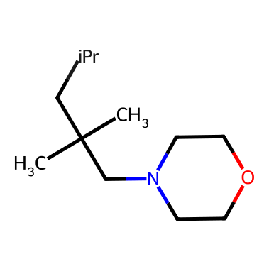 CC(C)CC(C)(C)CN1CCOCC1